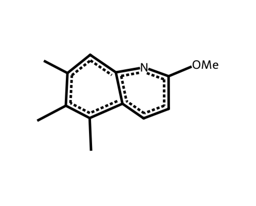 [CH2]Oc1ccc2c(C)c(C)c(C)cc2n1